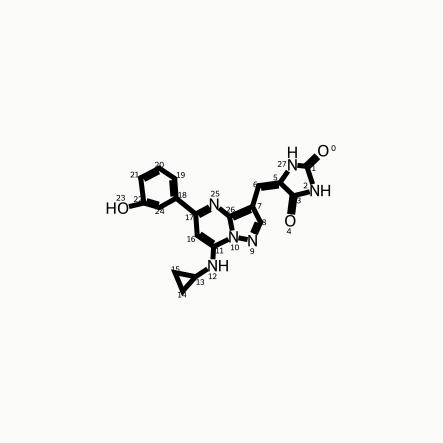 O=C1NC(=O)/C(=C\c2cnn3c(NC4CC4)cc(-c4cccc(O)c4)nc23)N1